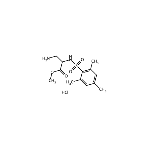 COC(=O)C(CN)NS(=O)(=O)c1c(C)cc(C)cc1C.Cl